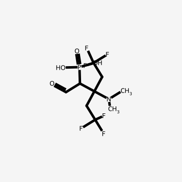 CN(C)C(CC(F)(F)F)(CC(F)(F)F)C(C=O)P(=O)(O)O